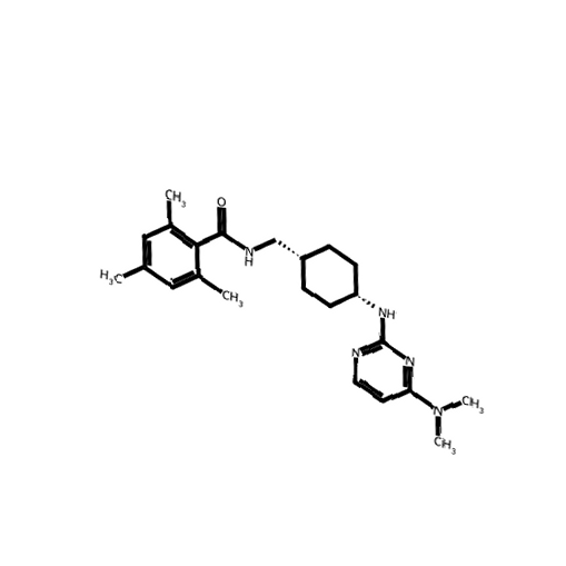 Cc1cc(C)c(C(=O)NC[C@H]2CC[C@@H](Nc3nccc(N(C)C)n3)CC2)c(C)c1